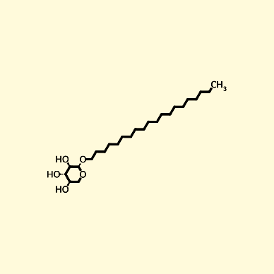 CCCCCCCCCCCCCCCCCCCCO[C@@H]1OC[C@@H](O)[C@H](O)[C@H]1O